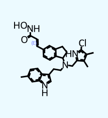 Cc1ccc2c(CCN(Cc3[nH]c(Cl)c(C)c3C)C3CCc4cc(/C=C/C(=O)NO)ccc43)c[nH]c2c1